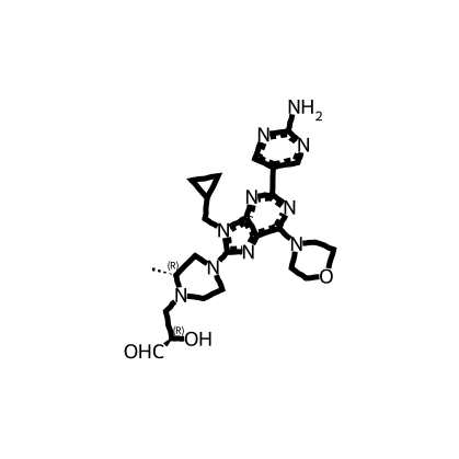 C[C@@H]1CN(c2nc3c(N4CCOCC4)nc(-c4cnc(N)nc4)nc3n2CC2CC2)CCN1C[C@@H](O)C=O